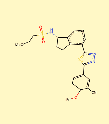 COCCS(=O)(=O)N[C@H]1CCc2c(-c3nnc(C4=CCC(OC(C)C)C(C#N)=C4)s3)cccc21